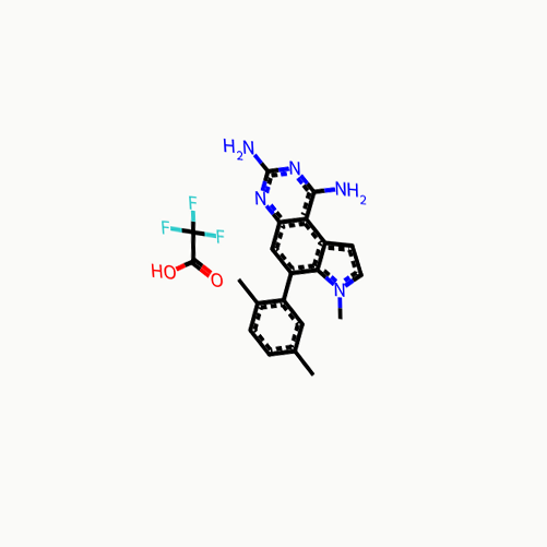 Cc1ccc(C)c(-c2cc3nc(N)nc(N)c3c3ccn(C)c23)c1.O=C(O)C(F)(F)F